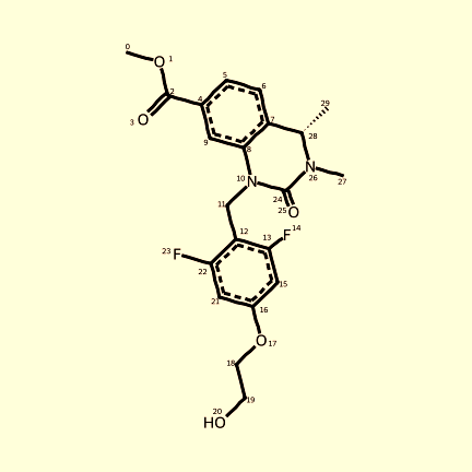 COC(=O)c1ccc2c(c1)N(Cc1c(F)cc(OCCO)cc1F)C(=O)N(C)[C@H]2C